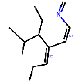 C=N/C=C\C(=C\CC)C(CC)C(C)C